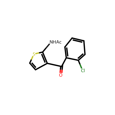 CC(=O)Nc1sccc1C(=O)c1ccccc1Cl